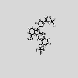 COc1cccc2c1n(Cc1ccccc1OC(F)(F)F)c(=O)n2[C@@H]1CCN(C(=O)OC(C)(C)C)C1